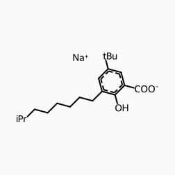 CC(C)CCCCCCc1cc(C(C)(C)C)cc(C(=O)[O-])c1O.[Na+]